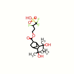 CC(C)(O)C1C2CC(C(=O)OCCC(F)C(F)(F)S(=O)(=O)O)C(C2)C1C(C)(C)O